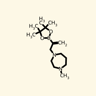 C=C(CN1CCCN(C)CC1)B1OC(C)(C)C(C)(C)O1